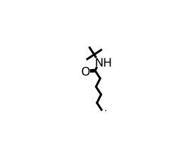 [CH2]CCCCC(=O)NC(C)(C)C